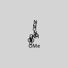 COc1cc(C)c(S(=O)(=O)N(C)CC(=O)NCC(=O)N(C)Cc2ccc(N3CCC(N(C)C)CC3)cc2)c(C)c1